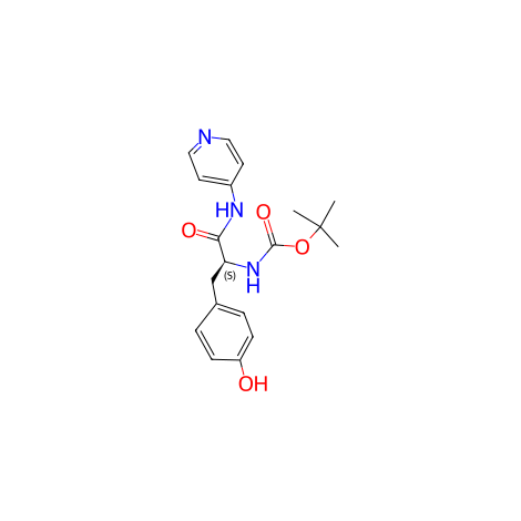 CC(C)(C)OC(=O)N[C@@H](Cc1ccc(O)cc1)C(=O)Nc1ccncc1